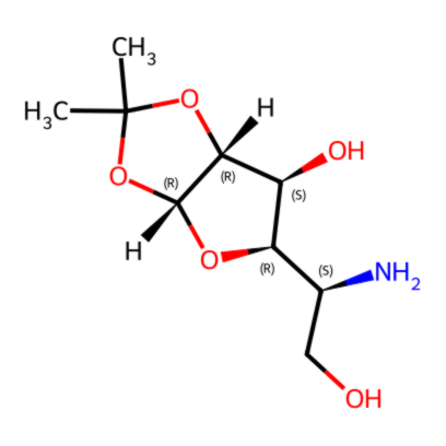 CC1(C)O[C@H]2O[C@H]([C@@H](N)CO)[C@H](O)[C@H]2O1